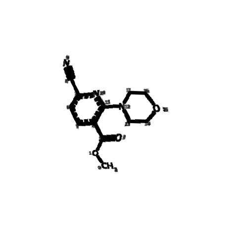 COC(=O)c1ccc(C#N)nc1N1CCOCC1